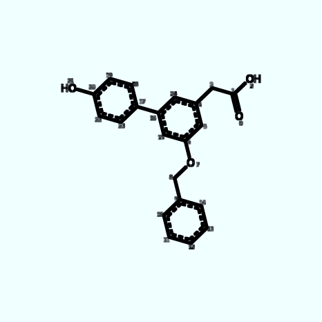 O=C(O)Cc1cc(OCc2ccccc2)cc(-c2ccc(O)cc2)c1